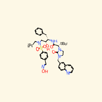 CC(C)CN(C[C@@H](O)[C@H](Cc1ccccc1)NC(=O)[C@@H](N1CCN(Cc2ccc3ncccc3c2)C1=O)C(C)(C)C)S(=O)(=O)c1ccc(C=NO)cc1